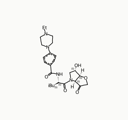 CC[C@H](C)[C@H](NC(=O)c1ccc(N2CCN(CC)CC2)cc1)C(=O)N1C[C@H](O)[C@H]2OCC(=O)[C@H]21